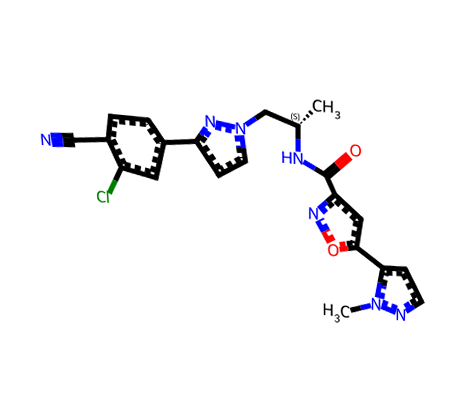 C[C@@H](Cn1ccc(-c2ccc(C#N)c(Cl)c2)n1)NC(=O)c1cc(-c2ccnn2C)on1